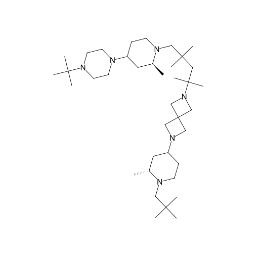 C[C@@H]1CC(N2CC3(C2)CN(C(C)(C)CC(C)(C)CN2CCC(N4CCN(C(C)(C)C)CC4)C[C@@H]2C)C3)CCN1CC(C)(C)C